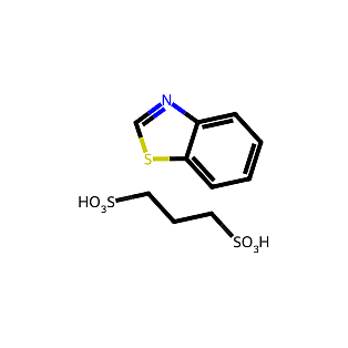 O=S(=O)(O)CCCS(=O)(=O)O.c1ccc2scnc2c1